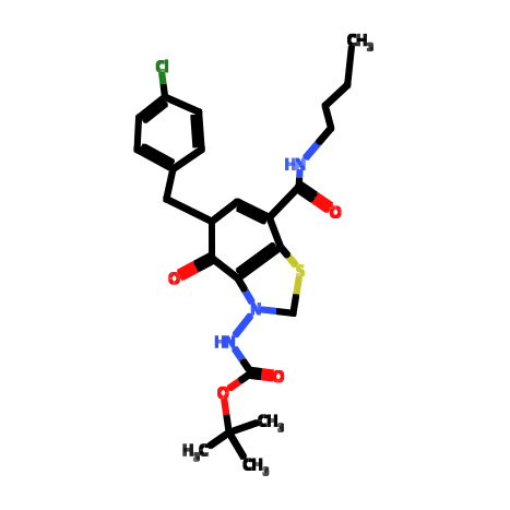 CCCCNC(=O)C1=CC(Cc2ccc(Cl)cc2)C(=O)C2=C1SCN2NC(=O)OC(C)(C)C